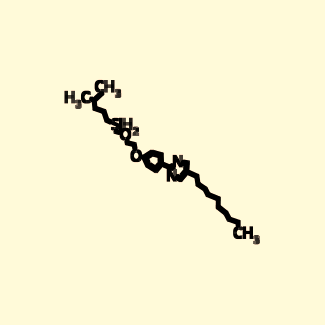 CCCCCCCCCCc1cnc(-c2ccc(OCCOC[SiH2]CCCC(C)CC)cc2)nc1